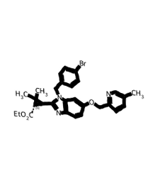 CCOC(=O)[C@H]1C(c2nc3ccc(OCc4ccc(C)cn4)cc3n2Cc2ccc(Br)cc2)C1(C)C